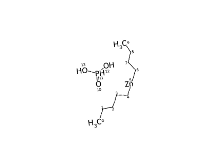 CCCC[CH2][Zn][CH2]CCC.O=[PH](O)O